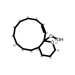 OOC12C=CCCCCCCCCC1CCCO2